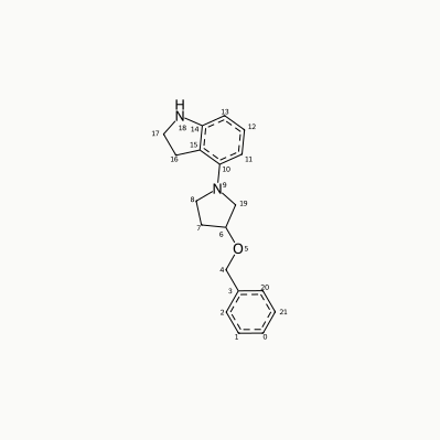 c1ccc(COC2CCN(c3cccc4c3CCN4)C2)cc1